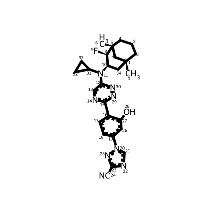 C[C@]12CCC[C@](C)(C1)[C@H](F)[C@H](N(c1cnc(-c3ccc(-n4cnc(C#N)n4)cc3O)nn1)C1CC1)C2